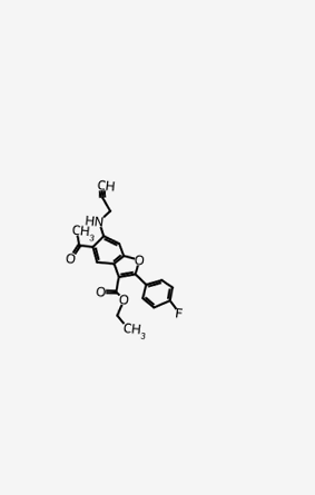 C#CCNc1cc2oc(-c3ccc(F)cc3)c(C(=O)OCC)c2cc1C(C)=O